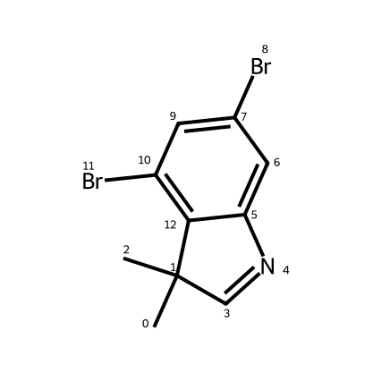 CC1(C)C=Nc2cc(Br)cc(Br)c21